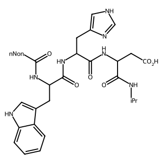 CCCCCCCCCC(=O)NC(Cc1c[nH]c2ccccc12)C(=O)NC(Cc1c[nH]cn1)C(=O)NC(CC(=O)O)C(=O)NC(C)C